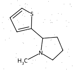 CN1CCCC1c1cccs1